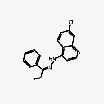 CC/C(=N/Nc1ccnc2cc(Cl)ccc12)c1ccccc1